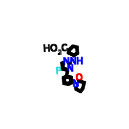 O=C(O)[C@@H]1CCC[C@H](Nc2ncc(F)c(-c3cccc(N4CCCCC4=O)c3)n2)C1